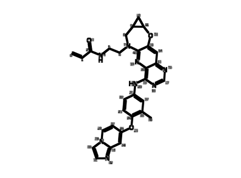 C=CC(=O)NCCN1CC2CC2Oc2cc3ncnc(Nc4ccc(Oc5ccn6ccnc6c5)c(C)c4)c3nc21